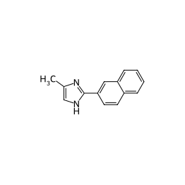 Cc1c[nH]c(-c2ccc3ccccc3c2)n1